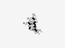 C=C(C)C(=O)OC(=O)CC(O)C(=O)OC(=O)C(=C)C.C=CCOC(=O)C(=C)C